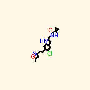 Cc1cc(CCc2cc3[nH]c(CNC(=O)C4(C)CC4)cc3cc2Cl)no1